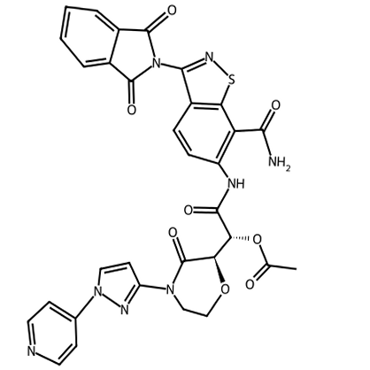 CC(=O)O[C@@H](C(=O)Nc1ccc2c(N3C(=O)c4ccccc4C3=O)nsc2c1C(N)=O)[C@H]1OCCN(c2ccn(-c3ccncc3)n2)C1=O